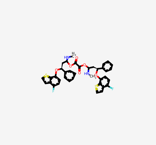 CNC(C[C@H](Oc1ccc(F)c2ccsc12)c1ccccc1)OC(=O)C(=O)OC(C[C@H](Oc1ccc(F)c2ccsc12)c1ccccc1)NC